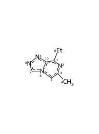 CCc1nc(C)cn2cnnc12